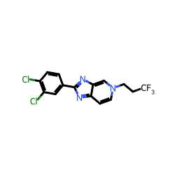 FC(F)(F)CCn1ccc2nc(-c3ccc(Cl)c(Cl)c3)nc-2c1